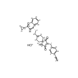 Cl.N#Cc1ccc(CN2C(=O)NC3(CCN(CC[C@H](NC(=O)C4CC4)c4ccccc4)CC3)C2=O)cc1